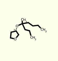 CCCCC(C)(CCC)O[C@H]1CCOC1